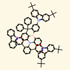 CC(C)(C)c1ccc2c(c1)c1cc(C(C)(C)C)ccc1n2-c1ccc2c(c1)N(c1c(-c3ccccc3)cccc1-c1ccccc1)c1cc(-n3c4ccccc4c4ccccc43)cc3c1B2c1ccc(-n2c4ccc(C(C)(C)C)cc4c4cc(C(C)(C)C)ccc42)cc1C3(c1ccccc1)c1ccccc1